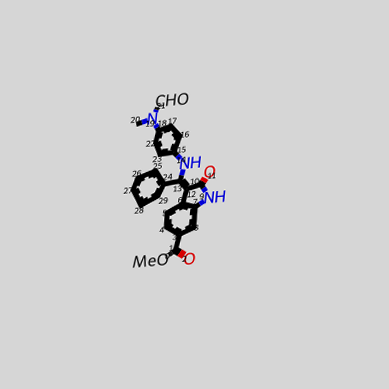 COC(=O)c1ccc2c(c1)NC(=O)/C2=C(\Nc1ccc(N(C)C=O)cc1)c1ccccc1